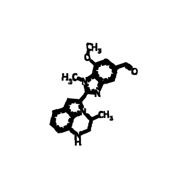 COc1cc(C=O)cc2nc(-c3cc4cccc5c4n3C(C)CN5)n(C)c12